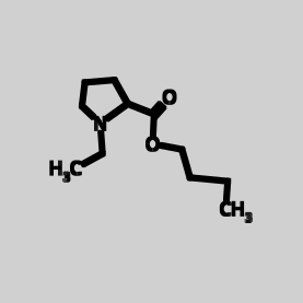 CCCCOC(=O)C1CCCN1CC